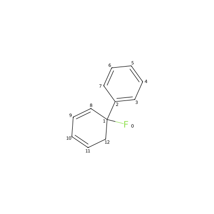 FC1(c2ccccc2)C=CC=CC1